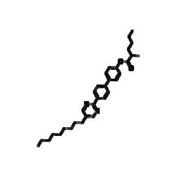 CCCCCCCCCc1cnc(-c2ccc(-c3ccc(OC(=O)C(C)CCCC)cc3)cc2)nc1